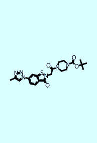 Cc1cn(-c2ccc3c(=O)n(CC(=O)N4CCN(C(=O)OC(C)(C)C)CC4)sc3c2)nn1